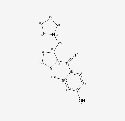 O=C(c1ccc(O)cc1F)N1CCCC1CN1CCCC1